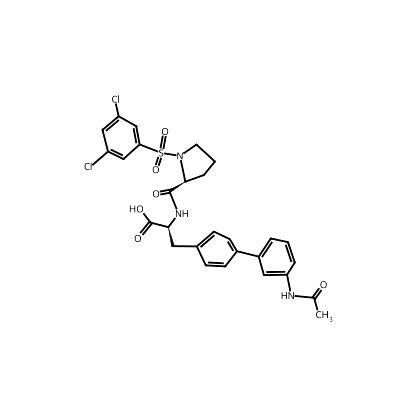 CC(=O)Nc1cccc(-c2ccc(C[C@H](NC(=O)[C@@H]3CCCN3S(=O)(=O)c3cc(Cl)cc(Cl)c3)C(=O)O)cc2)c1